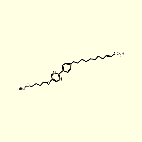 CCCCOCCCCOc1cnc(-c2ccc(CCCCCCCC/C=C/C(=O)O)cc2)nc1